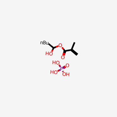 C=C(C)C(=O)OC(O)CCCC.O=P(O)(O)O